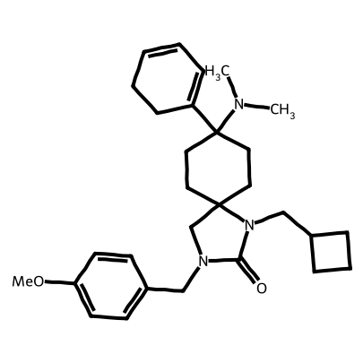 COc1ccc(CN2CC3(CCC(C4=CC=CCC4)(N(C)C)CC3)N(CC3CCC3)C2=O)cc1